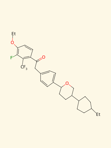 CCOc1ccc(C(=O)Cc2ccc(C3CCC(C4CCC(CC)CC4)CO3)cc2)c(C(F)(F)F)c1F